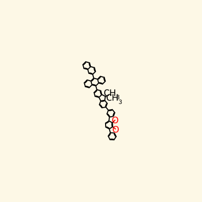 CC1(C)c2cc(-c3ccc4oc5c(ccc6c7ccccc7oc65)c4c3)ccc2-c2ccc(-c3c4ccccc4c(-c4ccc5ccccc5c4)c4ccccc34)cc21